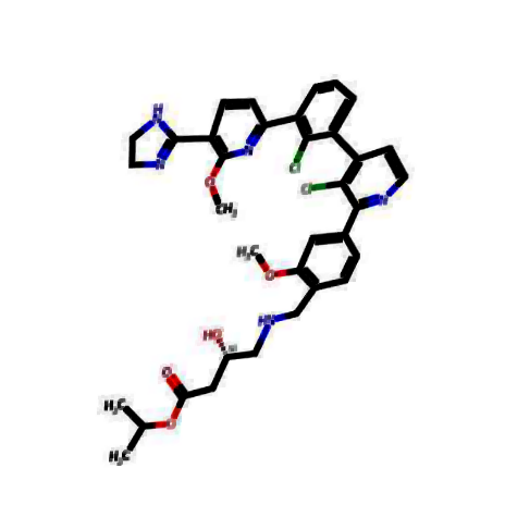 COc1cc(-c2nccc(-c3cccc(-c4ccc(C5=NCCN5)c(OC)n4)c3Cl)c2Cl)ccc1CNC[C@@H](O)CC(=O)OC(C)C